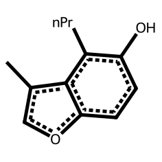 CCCc1c(O)ccc2occ(C)c12